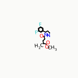 C=C(CCC(=O)N1N=CCC1c1cc(F)cc(F)c1)C(=O)OC